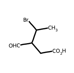 CC(Br)C(C=O)CC(=O)O